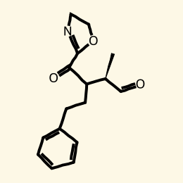 C[C@@H](C=O)C(CCc1ccccc1)C(=O)C1=NCCO1